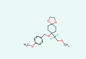 COCC(F)(F)C1(OCc2ccc(OC)cc2)CCC2(CC1)OCCO2